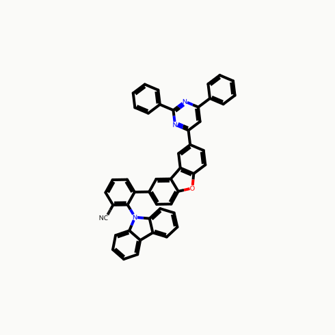 N#Cc1cccc(-c2ccc3oc4ccc(-c5cc(-c6ccccc6)nc(-c6ccccc6)n5)cc4c3c2)c1-n1c2ccccc2c2ccccc21